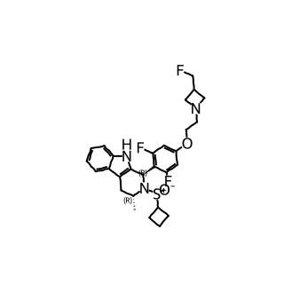 C[C@@H]1Cc2c([nH]c3ccccc23)[C@@H](c2c(F)cc(OCCN3CC(CF)C3)cc2F)N1[S+]([O-])C1CCC1